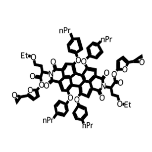 CCCc1ccc(Oc2cc3c4c(cc(Oc5ccc(CCC)cc5)c5c6c(Oc7ccc(CCC)cc7)cc7c8c(cc(Oc9ccc(CCC)cc9)c(c2c45)c86)C(=O)N(C(CCOCC)C(=O)Oc2ccc(C4CO4)o2)C7=O)C(=O)N(C(CCOCC)C(=O)Oc2ccc(C4CO4)o2)C3=O)cc1